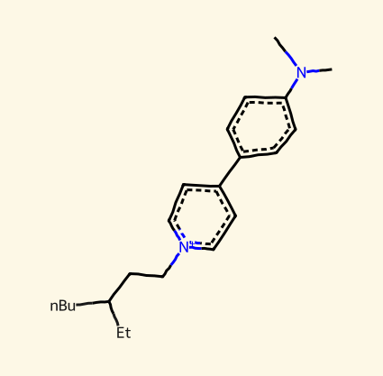 CCCCC(CC)CC[n+]1ccc(-c2ccc(N(C)C)cc2)cc1